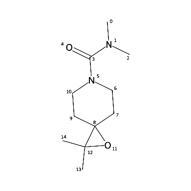 CN(C)C(=O)N1CCC2(CC1)OC2(C)C